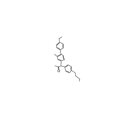 CCCCc1ccc(C(C(C)=O)c2ccc(-c3ccc(CC)cc3)c(C)c2)cc1